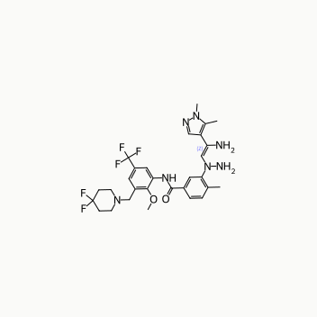 COc1c(CN2CCC(F)(F)CC2)cc(C(F)(F)F)cc1NC(=O)c1ccc(C)c(N(N)/C=C(\N)c2cnn(C)c2C)c1